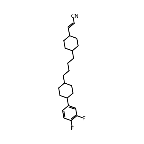 N#CC=CC1CCC(CCCCC2CCC(c3ccc(F)c(F)c3)CC2)CC1